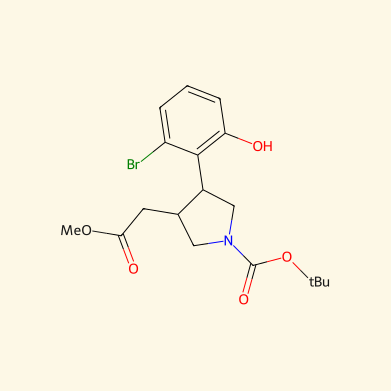 COC(=O)CC1CN(C(=O)OC(C)(C)C)CC1c1c(O)cccc1Br